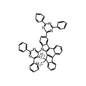 CC1(C)c2ccccc2-c2c1c1c(c3ccccc23)c2cc(-c3nc(-c4ccccc4)nc(-c4ccccc4)n3)ccc2n1-c1nc(-c2ccccc2)nc(-c2ccccc2)n1